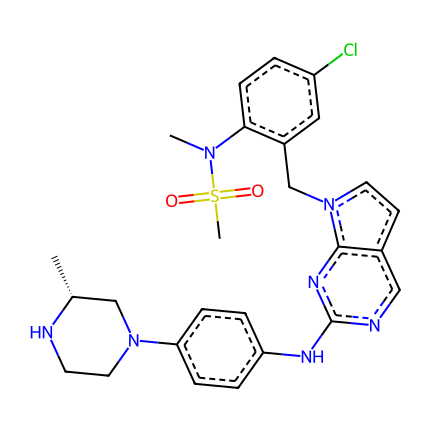 C[C@@H]1CN(c2ccc(Nc3ncc4ccn(Cc5cc(Cl)ccc5N(C)S(C)(=O)=O)c4n3)cc2)CCN1